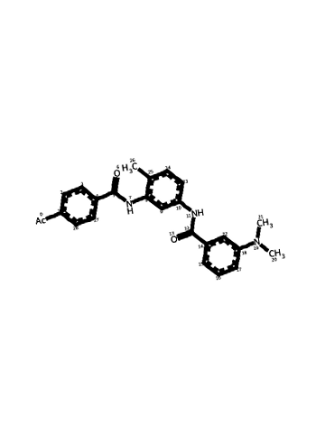 CC(=O)c1ccc(C(=O)Nc2cc(NC(=O)c3cccc(N(C)C)c3)ccc2C)cc1